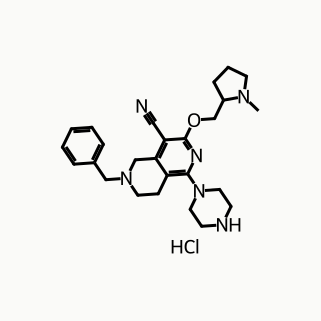 CN1CCCC1COc1nc(N2CCNCC2)c2c(c1C#N)CN(Cc1ccccc1)CC2.Cl